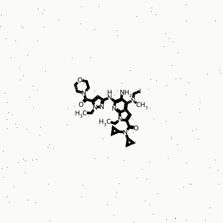 CCn1nc(Nc2nc3c(cc(C(=O)N(C4CC4)C4CC4)n3CC)c(N(C)CI)c2N)cc1C(=O)N1CCOCC1